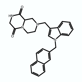 O=C1NCC(=O)N2CCN(Cc3cn(Cc4ccc5ccccc5c4)c4ccccc34)CC12